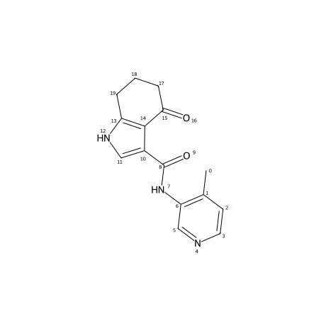 Cc1ccncc1NC(=O)c1c[nH]c2c1C(=O)CCC2